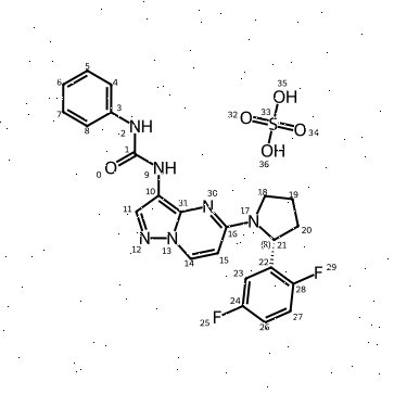 O=C(Nc1ccccc1)Nc1cnn2ccc(N3CCC[C@@H]3c3cc(F)ccc3F)nc12.O=S(=O)(O)O